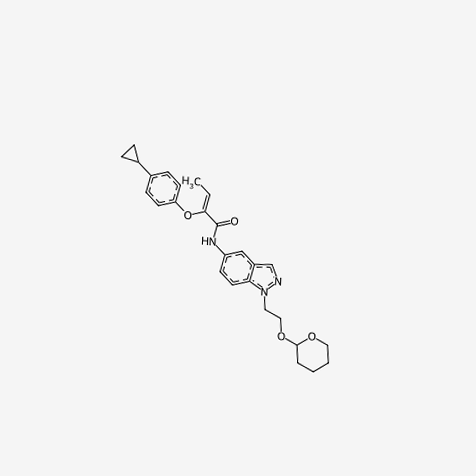 CC=C(Oc1ccc(C2CC2)cc1)C(=O)Nc1ccc2c(cnn2CCOC2CCCCO2)c1